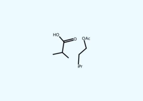 CC(=O)OCCC(C)C.CC(C)C(=O)O